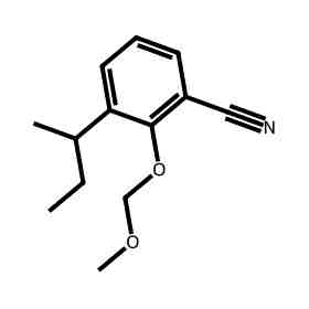 CCC(C)c1cccc(C#N)c1OCOC